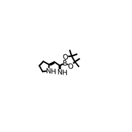 CC1(C)OB(C(=N)/C=C2/CCCN2)OC1(C)C